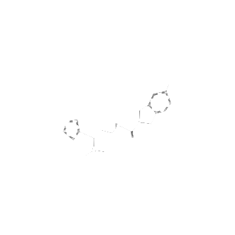 CN(C)[C@@H](CCNC(=O)N1Cc2ccc(F)cc2C1)c1ccsc1